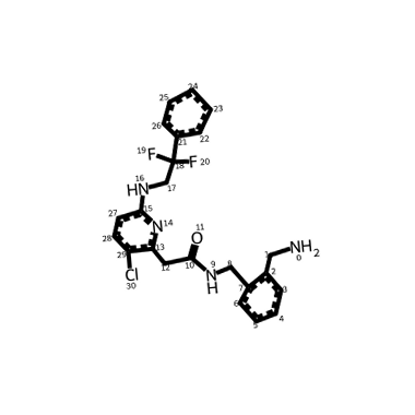 NCc1ccccc1CNC(=O)Cc1nc(NCC(F)(F)c2ccccc2)ccc1Cl